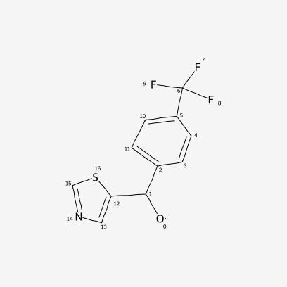 [O]C(c1ccc(C(F)(F)F)cc1)c1cncs1